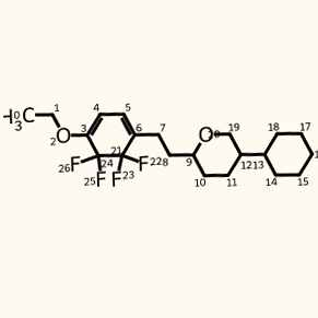 CCOC1=CC=C(CCC2CCC(C3CCCCC3)CO2)C(F)(F)C1(F)F